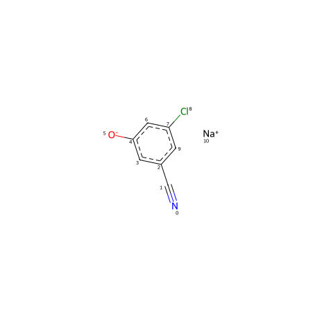 N#Cc1cc([O-])cc(Cl)c1.[Na+]